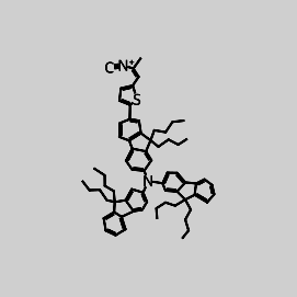 [C-]#[N+]/C(C)=C\c1ccc(-c2ccc3c(c2)C(CCCC)(CCCC)c2cc(N(c4ccc5c(c4)C(CCCC)(CCCC)c4ccccc4-5)c4ccc5c(c4)C(CCCC)(CCCC)c4ccccc4-5)ccc2-3)s1